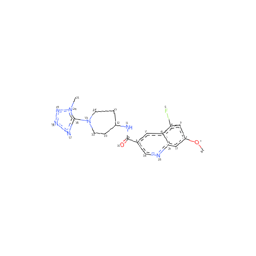 COc1cc(F)c2cc(C(=O)NC3CCN(c4nnnn4C)CC3)cnc2c1